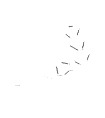 CCCCCc1ccc2c(c1)sc1ccc3cc4ccccc4cc3c12